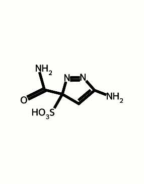 NC(=O)C1(S(=O)(=O)O)C=C(N)N=N1